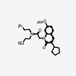 COc1ccc2cc(C3CCCC3)c(=O)n(CC(=O)N(CCC(C)C)CCC(C)(C)C)c2c1